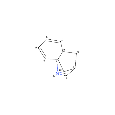 C1=CC2CC3C=NC2(C=C1)C3